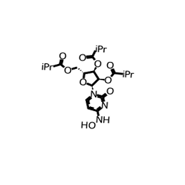 CC(C)C(=O)OC[C@H]1O[C@@H](n2ccc(NO)nc2=O)[C@H](OC(=O)C(C)C)[C@@H]1OC(=O)C(C)C